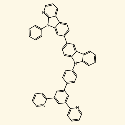 c1ccc(-n2c3cc(-c4ccc5c(c4)c4ccccc4n5-c4ccc(-c5cc(-c6ccccn6)cc(-c6ccccn6)c5)cc4)ccc3c3cccnc32)cc1